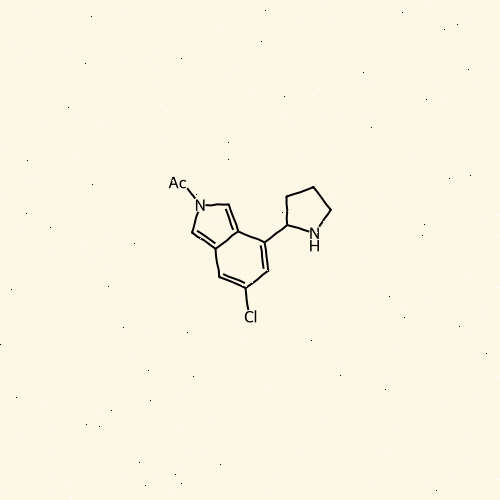 CC(=O)n1cc2cc(Cl)cc(C3CCCN3)c2c1